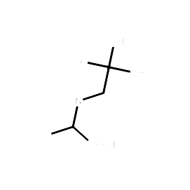 CCC(NCC(C)(C)S)C(=O)O